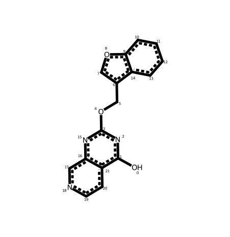 Oc1nc(OCc2coc3ccccc23)nc2cnccc12